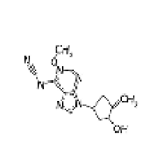 C=C1CC(n2cnc3c(=NC#N)n(OC)cnc32)CC1O